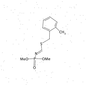 COP(=O)(/N=C/SCc1ccccc1C)OC